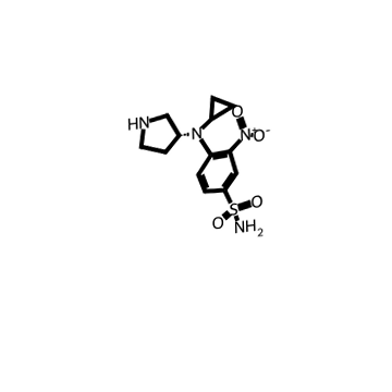 NS(=O)(=O)c1ccc(N(C2CC2)[C@@H]2CCNC2)c([N+](=O)[O-])c1